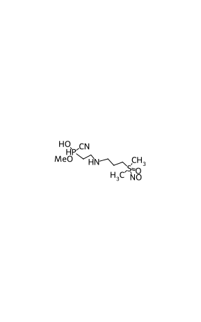 CO[PH](O)(C#N)CCNCCCS(C)(C)(=O)N=O